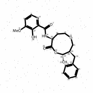 COc1ccnc(C(=O)N[C@H]2CCOC[C@@H](Cc3ccccc3)[C@H](C)OC2=O)c1O